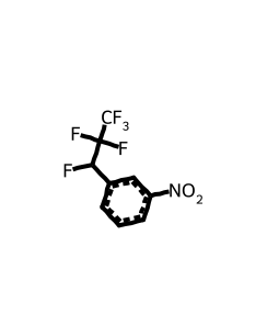 O=[N+]([O-])c1cccc(C(F)C(F)(F)C(F)(F)F)c1